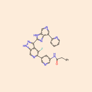 CC(C)CC(=O)Nc1cncc(-c2ncc3[nH]nc(-c4nc5c(-c6ccccn6)cncc5[nH]4)c3c2F)c1